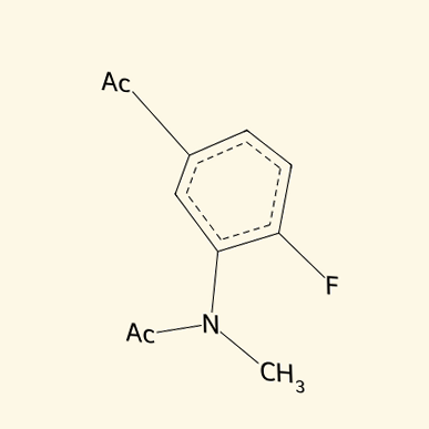 CC(=O)c1ccc(F)c(N(C)C(C)=O)c1